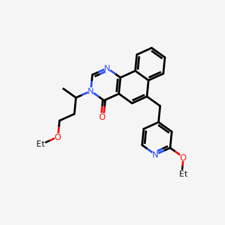 CCOCCC(C)n1cnc2c(cc(Cc3ccnc(OCC)c3)c3ccccc32)c1=O